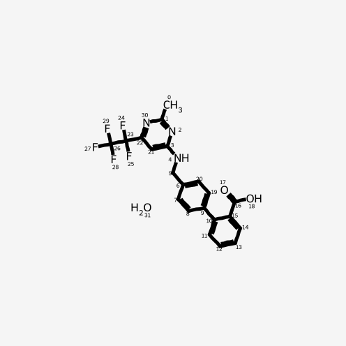 Cc1nc(NCc2ccc(-c3ccccc3C(=O)O)cc2)cc(C(F)(F)C(F)(F)F)n1.O